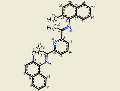 C/C(=N\c1c(C)ccc2ccccc12)c1cccc(/C(C)=N/c2c(C)ccc3ccccc23)n1